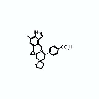 Cc1cc(C2CC2)c(CN2CC[C@]3(CCCO3)C[C@H]2c2ccc(C(=O)O)cc2)c2cc[nH]c12